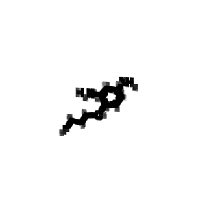 Nc1ccc(OCCCF)c(N)c1